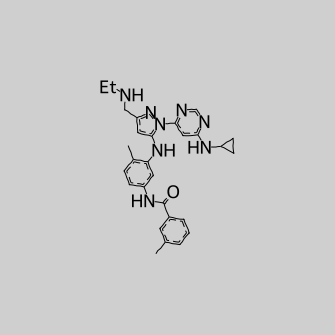 CCNCc1cc(Nc2cc(NC(=O)c3cccc(C)c3)ccc2C)n(-c2cc(NC3CC3)ncn2)n1